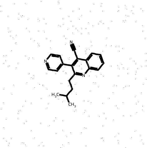 CC(C)CCc1nc2ccccc2c(C#N)c1-c1ccncc1